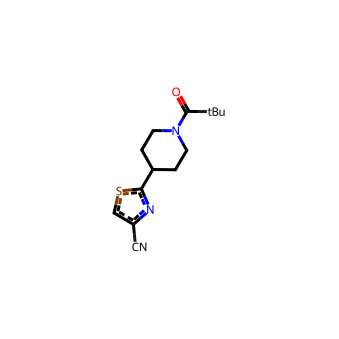 CC(C)(C)C(=O)N1CCC(c2nc(C#N)cs2)CC1